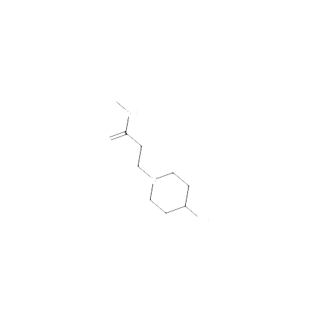 CCNC(=O)CCN1CCC(C=O)CC1